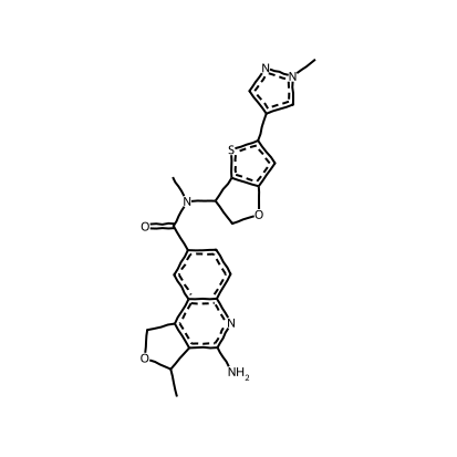 CC1OCc2c1c(N)nc1ccc(C(=O)N(C)C3COc4cc(-c5cnn(C)c5)sc43)cc21